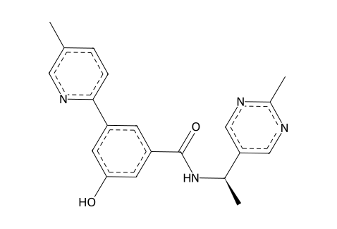 Cc1ccc(-c2cc(O)cc(C(=O)N[C@H](C)c3cnc(C)nc3)c2)nc1